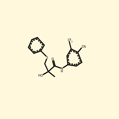 CC(O)(CSc1ccccc1)C(=O)Nc1ccc(C#N)c(C(F)(F)F)c1